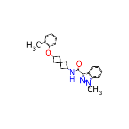 Cc1ccccc1OC1CC2(CC(NC(=O)c3nn(C)c4ccccc34)C2)C1